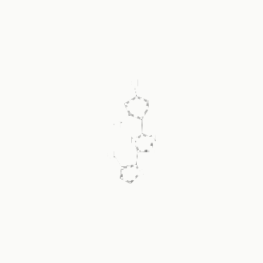 Clc1ccc(-c2noc(-c3sccc3Cl)n2)c(Cl)c1